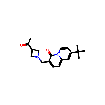 CC(=O)C1CN(Cc2ccc3cc(C(C)(C)C)ccn3c2=O)C1